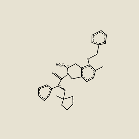 Cc1ccc2c(c1OCc1ccccc1)C[C@H](C(=O)O)N(C(=O)[C@@H](OC1(C)CCCC1)c1ccccc1)C2